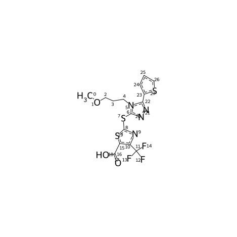 COCCCn1c(Sc2nc(C(F)(F)F)c(C(=O)O)s2)nnc1-c1cccs1